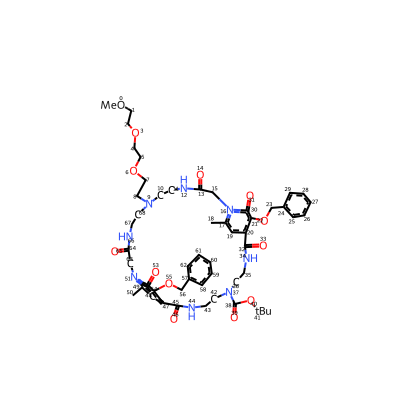 COCCOCCOCCN1CCNC(=O)Cn2c(C)cc(c(OCc3ccccc3)c2=O)C(=O)NCCN(C(=O)OC(C)(C)C)CCNC(=O)c2cc(C)n(c(=O)c2OCc2ccccc2)CC(=O)NCC1